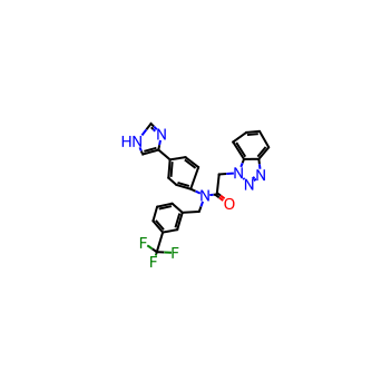 O=C(Cn1nnc2ccccc21)N(Cc1cccc(C(F)(F)F)c1)c1ccc(-c2c[nH]cn2)cc1